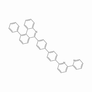 c1ccc(-c2cccc3c(-c4ccc(-c5ccc(-c6cccc(-c7ccccn7)n6)cc5)cc4)nc4ccccc4c23)cc1